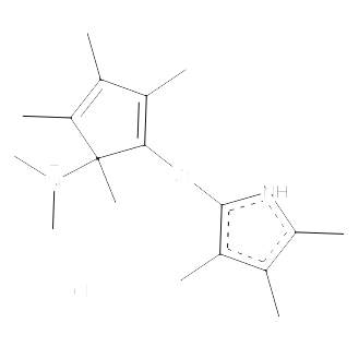 CC1=C(C)C(C)([SiH](C)C)[C]([Zr+2][c]2[nH]c(C)c(C)c2C)=C1C.[Cl-].[Cl-]